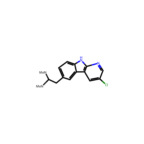 CN[C](Cc1ccc2[nH]c3ncc(Cl)cc3c2c1)NC